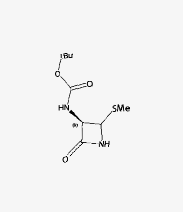 CSC1NC(=O)[C@H]1NC(=O)OC(C)(C)C